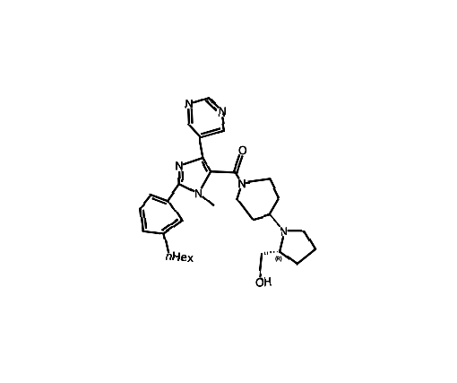 CCCCCCc1cccc(-c2nc(-c3cncnc3)c(C(=O)N3CCC(N4CCC[C@@H]4CO)CC3)n2C)c1